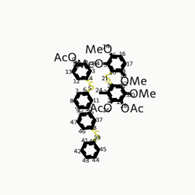 CC(=O)Oc1ccc(Sc2cc[c]cc2)cc1.COc1ccc(C)c(Sc2c(C)c(OC(C)=O)c(OC(C)=O)c(OC)c2OC)c1OC.[c]1ccc(Sc2cc[c]cc2)cc1